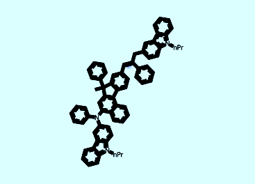 CCCn1c2ccccc2c2cc(C/C(=C/c3ccc4c(c3)C(C)(c3ccccc3)c3cc(N(c5ccccc5)c5ccc6c(c5)c5ccccc5n6CCC)c5ccccc5c3-4)c3ccccc3)ccc21